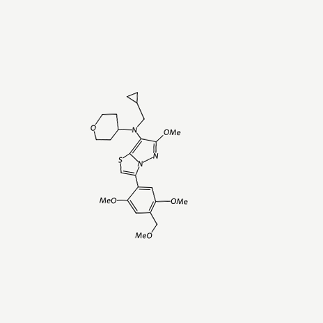 COCc1cc(OC)c(-c2csc3c(N(CC4CC4)C4CCOCC4)c(OC)nn23)cc1OC